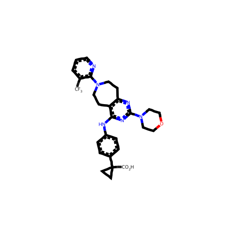 O=C(O)C1(c2ccc(Nc3nc(N4CCOCC4)nc4c3CCN(c3ncccc3C(F)(F)F)CC4)cc2)CC1